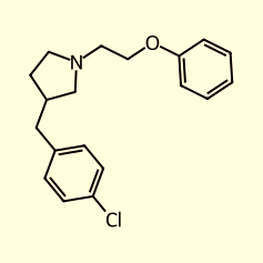 Clc1ccc(CC2CCN(CCOc3ccccc3)C2)cc1